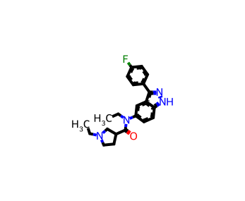 CCN1CCC(C(=O)N(CC)c2ccc3[nH]nc(-c4ccc(F)cc4)c3c2)C1